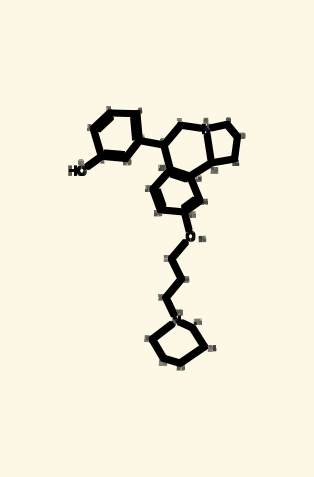 Oc1cccc(C2CN3CCCC3c3cc(OCCCN4CCCCC4)ccc32)c1